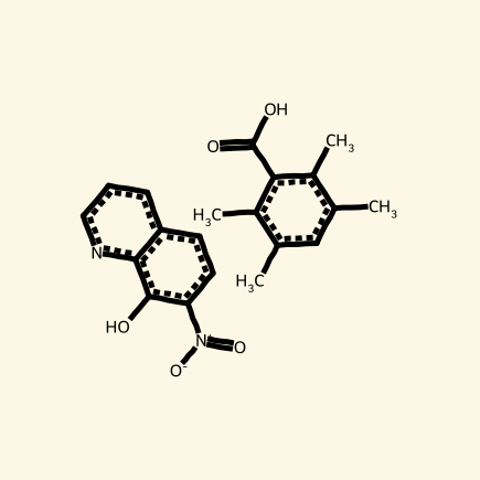 Cc1cc(C)c(C)c(C(=O)O)c1C.O=[N+]([O-])c1ccc2cccnc2c1O